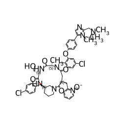 C[C@H]1C(=O)N[C@@H](CO)C(=O)N[C@@]2(Cc3ccc(Cl)cc3)CCCN(C2)C(=O)[C@H](Cc2cccc[n+]2[O-])CC(=O)N1Cc1ccc(Cl)cc1Oc1ccc(-c2cnc(CN(C)C)n2C)cc1